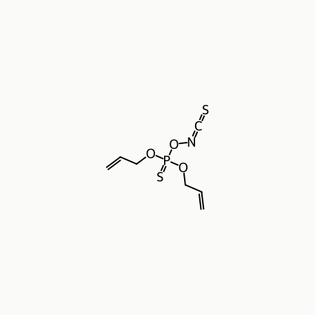 C=CCOP(=S)(OCC=C)ON=C=S